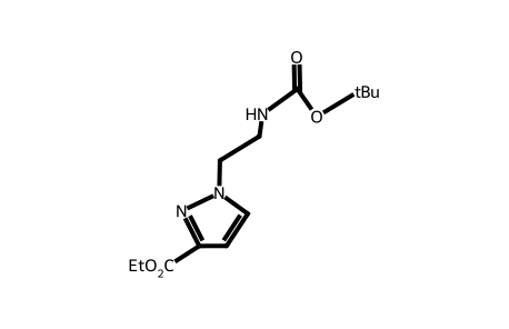 CCOC(=O)c1ccn(CCNC(=O)OC(C)(C)C)n1